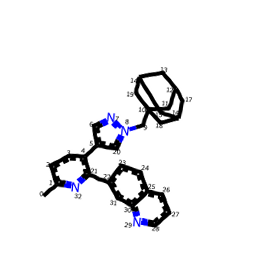 Cc1ccc(-c2cnn(CC34CC5CC(CC(C5)C3)C4)c2)c(-c2ccc3cccnc3c2)n1